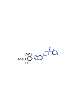 COc1cc(OC)c(-c2cn3ccc(N4CCC(Nc5ccncn5)CC4)cc3n2)cc1Cl